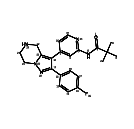 CC(C)(C)C(=O)Nc1cc(-c2c(-c3ccc(F)cc3)nn3c2CNCC3)ccn1